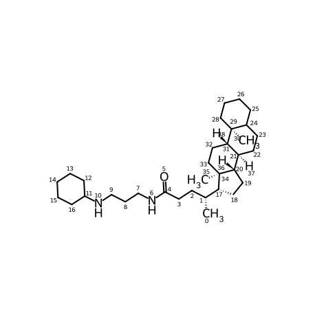 C[C@H](CCC(=O)NCCCNC1CCCCC1)[C@H]1CC[C@H]2[C@@H]3CCC4CCCC[C@]4(C)[C@H]3CC[C@]12C